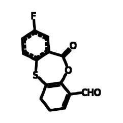 O=CC1=CCCC2=C1OC(=O)c1cc(F)ccc1S2